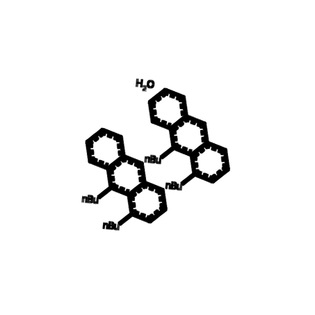 CCCCc1cccc2cc3ccccc3c(CCCC)c12.CCCCc1cccc2cc3ccccc3c(CCCC)c12.O